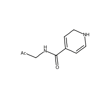 CC(=O)CNC(=O)C1=CCNC=C1